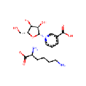 NCCCCC(N)C(=O)[O-].O=C(O)c1ccc[n+]([C@@H]2O[C@H](CO)[C@@H](O)[C@H]2O)c1